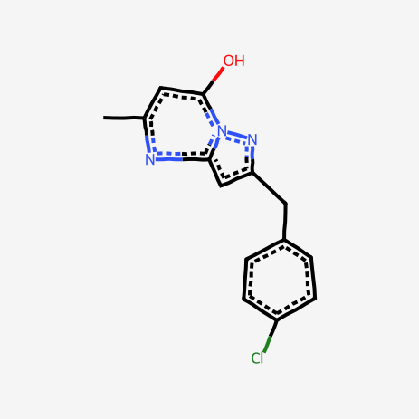 Cc1cc(O)n2nc(Cc3ccc(Cl)cc3)cc2n1